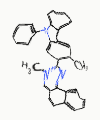 Cc1cc2c3ccccc3n(-c3ccccc3)c2cc1-c1nc2c(ccc3ccccc32)c[n+]1C